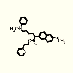 COc1ccc2cc(C(CCCCN(C)c3ccccc3)C(=O)OCCc3ccccn3)ccc2c1